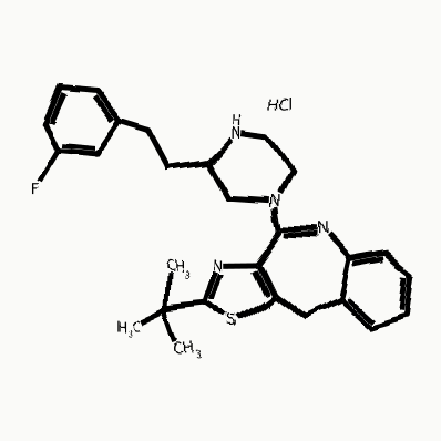 CC(C)(C)c1nc2c(s1)Cc1ccccc1N=C2N1CCNC(CCc2cccc(F)c2)C1.Cl